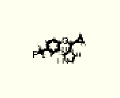 FC(F)(F)c1ccc(O[C@@H](C2CC2)[C@H]2CCNC2)cc1